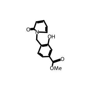 COC(=O)c1ccc(Cn2ccccc2=O)c(O)c1